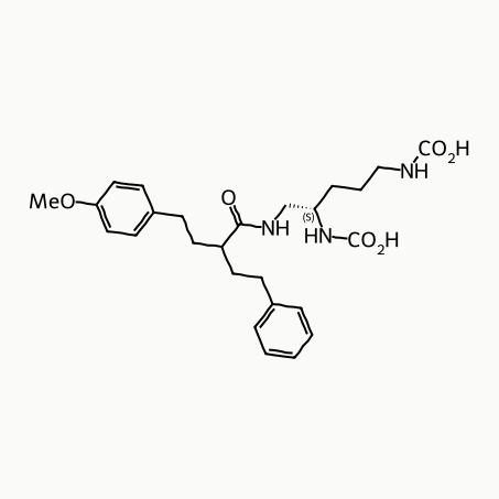 COc1ccc(CCC(CCc2ccccc2)C(=O)NC[C@H](CCCNC(=O)O)NC(=O)O)cc1